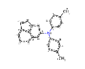 Cc1ccc(N(c2ccc(C)cc2)c2cc3c4c(cccc4c2)C=C3)cc1